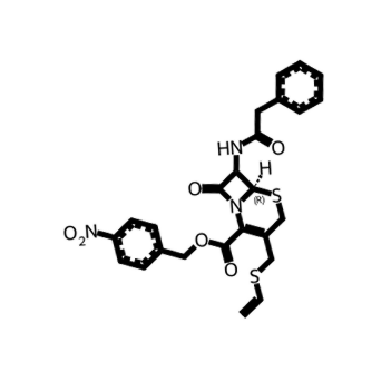 C=CSCC1=C(C(=O)OCc2ccc([N+](=O)[O-])cc2)N2C(=O)C(NC(=O)Cc3ccccc3)[C@H]2SC1